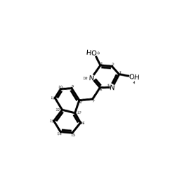 Oc1cc(O)nc(Cc2cccc3ccccc23)n1